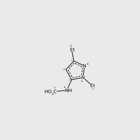 CCc1cc(NC(=O)O)n(CC)n1